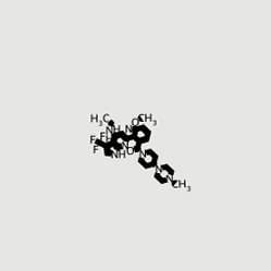 CCNc1cc(C2C(C(=O)N3CCC(N4CCN(C)CC4)CC3)=CC=CC2(N)OC)nc2[nH]cc(C(F)(F)F)c12